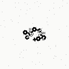 CC(C)(C)c1ccc(-c2ncccc2C(=O)Nc2nc(-c3cccc(C(=O)N[C@H](C(=O)N4CCCC4)c4ccccc4)c3)cs2)cc1